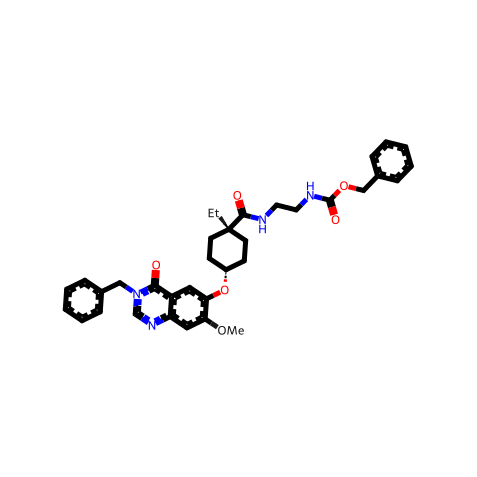 CC[C@]1(C(=O)NCCNC(=O)OCc2ccccc2)CC[C@@H](Oc2cc3c(=O)n(Cc4ccccc4)cnc3cc2OC)CC1